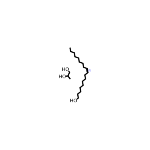 CC(O)CO.CCCCCCCC/C=C\CCCCCCCCO